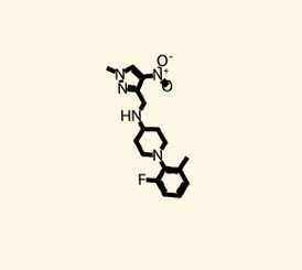 Cc1cccc(F)c1N1CCC(NCc2nn(C)cc2[N+](=O)[O-])CC1